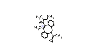 CC(=C1CC1)N1Cc2ccccc2/C(NC(C)CN)=C(/C)c2ccccc21